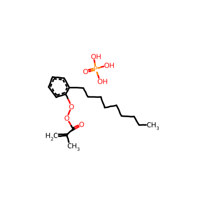 C=C(C)C(=O)OOc1ccccc1CCCCCCCCC.O=P(O)(O)O